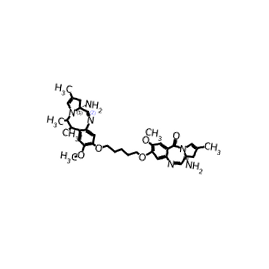 COc1cc2c(cc1OCCCCCOc1cc3c(cc1OC)C(C)C(C)N1C=C(C)C[C@@]1(N)/C=N\3)N=C[C@]1(N)CC(C)=CN1C2=O